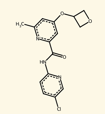 Cc1cc(OC2COC2)cc(C(=O)Nc2ccc(Cl)cn2)n1